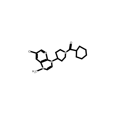 CN1C=CN(C2CCN(C(=O)C3CCCCC3)CC2)c2ncc(Cl)cc21